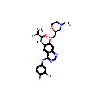 C=C(F)C(=O)Nc1cc2c(Nc3ccc(F)c(Cl)c3)ncnc2cc1OC[C@@H]1CN(C)CCO1